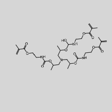 C=C(C)C(=O)OCCNC(=O)OC(C)CN(CC(C)OC(=O)NCCOC(=O)C(=C)C)CC(C)OC(O)NCCOC(=O)C(=C)C